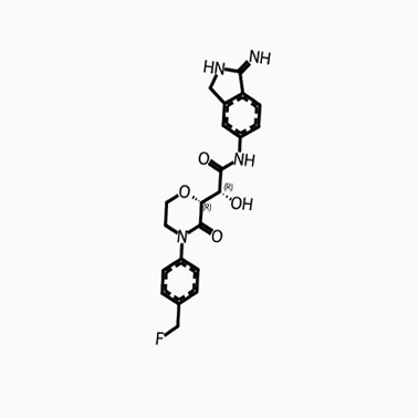 N=C1NCc2cc(NC(=O)[C@H](O)[C@H]3OCCN(c4ccc(CF)cc4)C3=O)ccc21